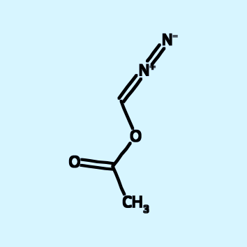 CC(=O)OC=[N+]=[N-]